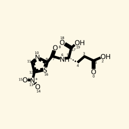 O=C(O)CC[C@H](NC(=O)c1ncc([N+](=O)[O-])s1)C(=O)O